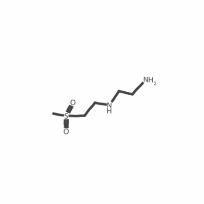 CS(=O)(=O)CCNCCN